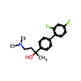 CCN(CC)CCC(C)(O)c1ccc(-c2ccc(F)cc2F)cc1